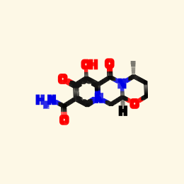 C[C@@H]1CCO[C@H]2Cn3cc(C(N)=O)c(=O)c(O)c3C(=O)N12